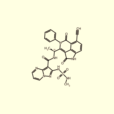 C#Cc1ccc2c3c(c([C@H](C)NC(=O)c4c(NS(=O)(=O)NC)nn5cccnc45)n(-c4ccccc4)c(=O)c13)C(=O)N2